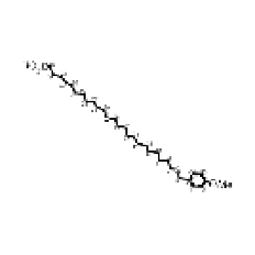 COc1ccc(CSCCCCCCCCCCCCSCCCCCCCCCCCC(=O)O)cc1